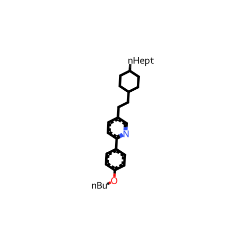 CCCCCCCC1CCC(CCc2ccc(-c3ccc(OCCCC)cc3)nc2)CC1